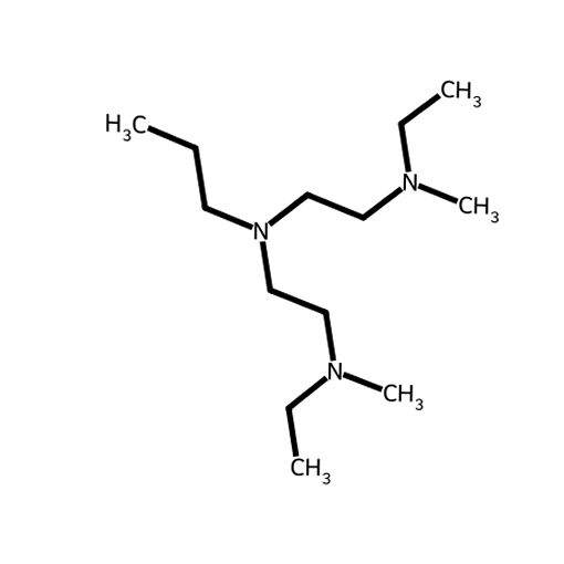 CCCN(CCN(C)CC)CCN(C)CC